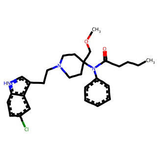 CCCCC(=O)N(c1ccccc1)C1(COC)CCN(CCc2c[nH]c3ccc(Cl)cc23)CC1